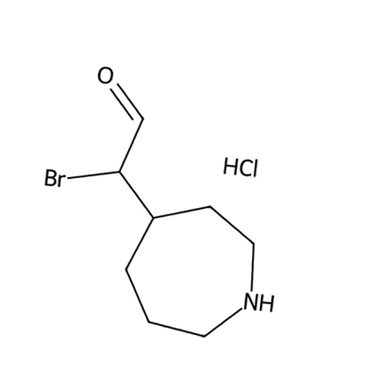 Cl.O=CC(Br)C1CCCNCC1